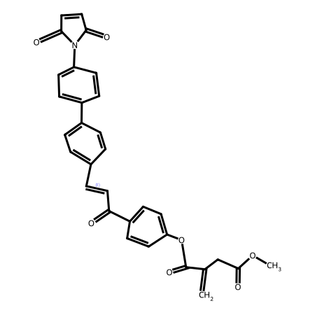 C=C(CC(=O)OC)C(=O)Oc1ccc(C(=O)/C=C/c2ccc(-c3ccc(N4C(=O)C=CC4=O)cc3)cc2)cc1